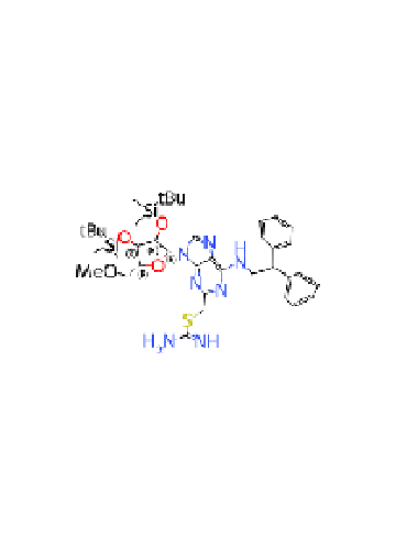 COC[C@H]1O[C@@H](n2cnc3c(NCC(c4ccccc4)c4ccccc4)nc(CSC(=N)N)nc32)[C@H](O[Si](C)(C)C(C)(C)C)[C@@H]1O[Si](C)(C)C(C)(C)C